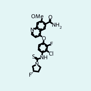 COc1cc2nccc(Oc3ccc(NC(=S)N4CC[C@H](F)C4)c(Cl)c3F)c2cc1C(N)=O